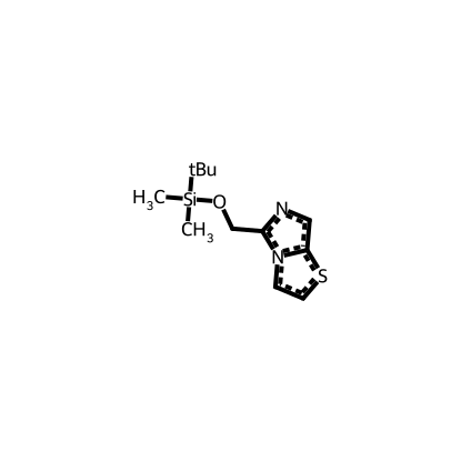 CC(C)(C)[Si](C)(C)OCc1ncc2sccn12